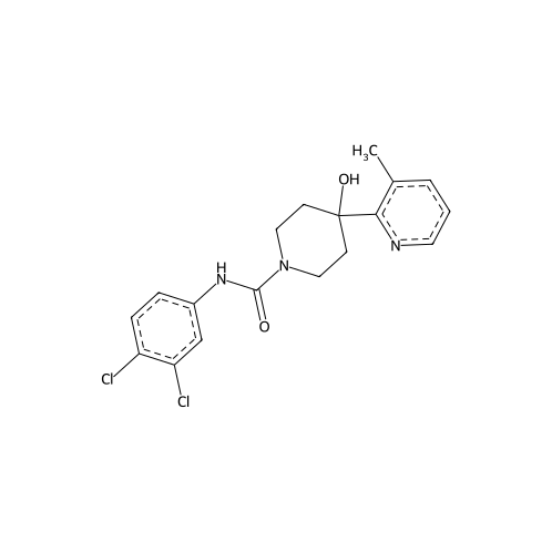 Cc1cccnc1C1(O)CCN(C(=O)Nc2ccc(Cl)c(Cl)c2)CC1